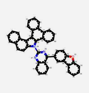 c1ccc2c(c1)ccc1c2c2c3ccccc3c3ccccc3c2n1-c1nc(-c2ccc3oc4ccccc4c3c2)c2ccccc2n1